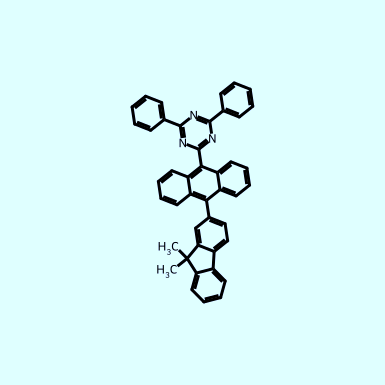 CC1(C)c2ccccc2-c2ccc(-c3c4ccccc4c(-c4nc(-c5ccccc5)nc(-c5ccccc5)n4)c4ccccc34)cc21